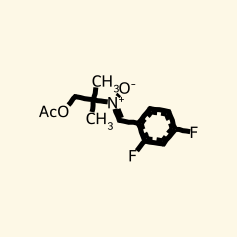 CC(=O)OCC(C)(C)[N+]([O-])=Cc1ccc(F)cc1F